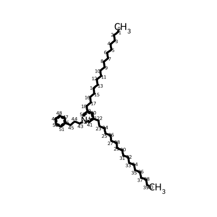 CCCCCCCCCCCCCCCCCCCc1cc(CCCCCCCCCCCCCCCCCCC)c[n+](CCCc2ccccc2)c1